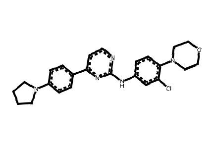 Clc1cc(Nc2nccc(-c3ccc(N4CCCC4)cc3)n2)ccc1N1CCOCC1